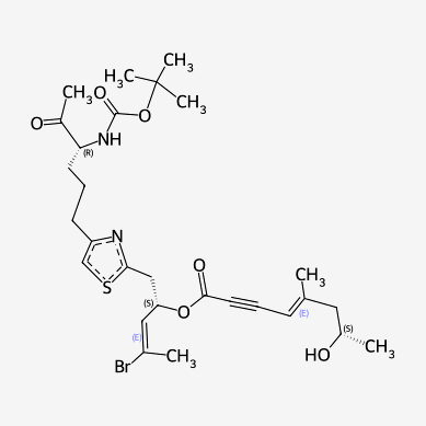 CC(=O)[C@@H](CCCc1csc(C[C@@H](/C=C(\C)Br)OC(=O)C#C/C=C(\C)C[C@H](C)O)n1)NC(=O)OC(C)(C)C